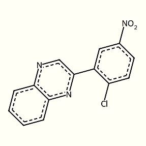 O=[N+]([O-])c1ccc(Cl)c(-c2cnc3ccccc3n2)c1